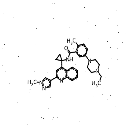 CCN1CCN(c2ccc(C)c(C(=O)NC3(c4cc(-c5cnn(C)c5)nc5ccccc45)CC3)c2)CC1